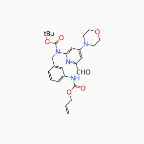 C=CCOC(=O)Nc1cccc(CN(C(=O)OC(C)(C)C)c2cc(N3CCOCC3)cc(C=O)n2)c1